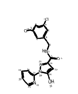 O=C(NCc1cc(Cl)cc(Cl)c1)c1cc(O)n(-c2ccccn2)n1